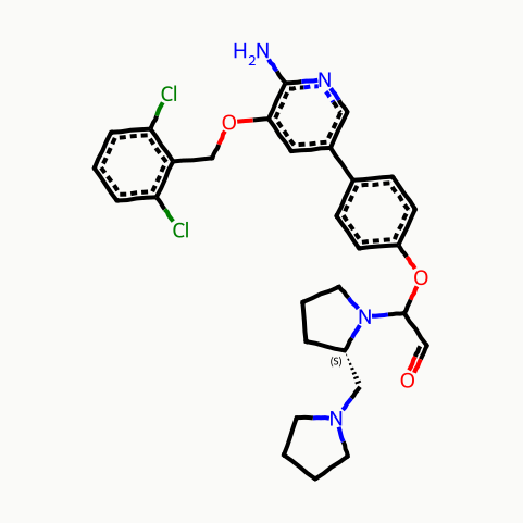 Nc1ncc(-c2ccc(OC(C=O)N3CCC[C@H]3CN3CCCC3)cc2)cc1OCc1c(Cl)cccc1Cl